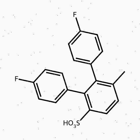 Cc1ccc(S(=O)(=O)O)c(-c2ccc(F)cc2)c1-c1ccc(F)cc1